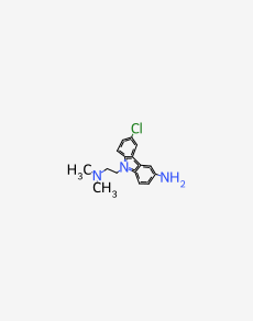 CN(C)CCn1c2ccc(N)cc2c2cc(Cl)ccc21